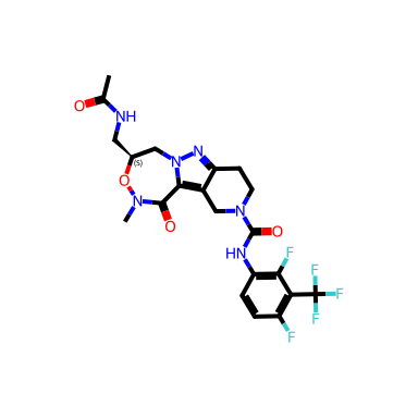 CC(=O)NC[C@H]1Cn2nc3c(c2C(=O)N(C)O1)CN(C(=O)Nc1ccc(F)c(C(F)(F)F)c1F)CC3